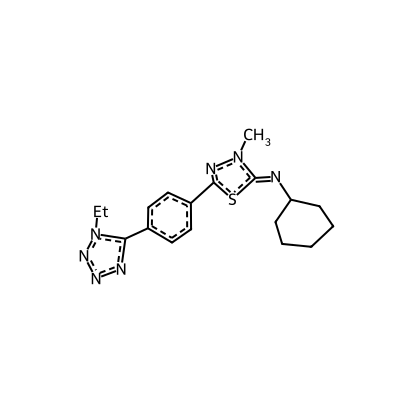 CCn1nnnc1-c1ccc(-c2nn(C)c(=NC3CCCCC3)s2)cc1